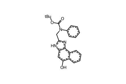 CC(C)(C)OC(=O)N(Cc1nc2c(cc(O)c3ccccc32)[nH]1)c1ccccc1